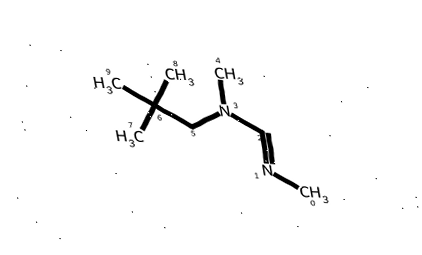 C/N=C/N(C)CC(C)(C)C